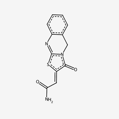 NC(=O)C=c1sc2n(c1=O)Cc1ccccc1N=2